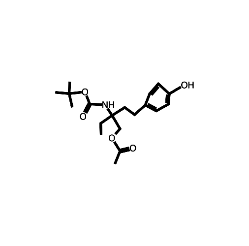 CCC(CCc1ccc(O)cc1)(COC(C)=O)NC(=O)OC(C)(C)C